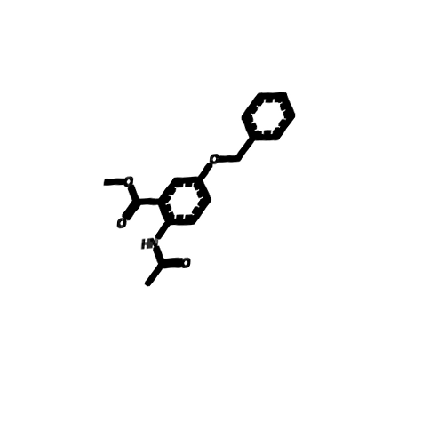 COC(=O)c1cc(OCc2ccccc2)ccc1NC(C)=O